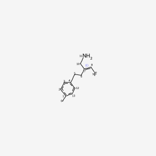 Cc1ccc(CC/C(=C\F)CN)cc1